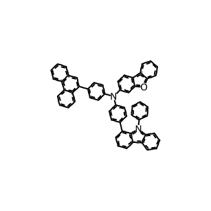 c1ccc(-n2c3ccccc3c3cccc(-c4ccc(N(c5ccc(-c6cc7ccccc7c7ccccc67)cc5)c5ccc6c(c5)oc5ccccc56)cc4)c32)cc1